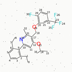 CCc1cccc(CC)c1-c1cc(OC(C)C)c(COc2cc(C(F)(F)F)ccc2F)c(C)n1